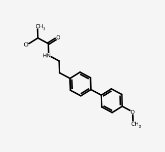 COc1ccc(-c2ccc(CCNC(=O)C(C)Cl)cc2)cc1